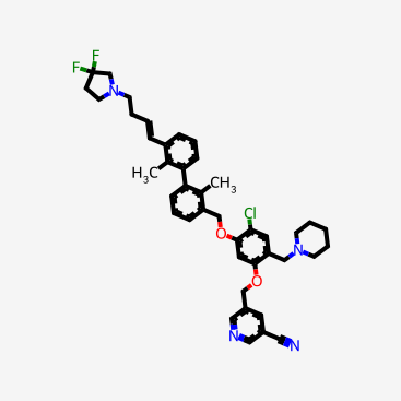 Cc1c(/C=C/CCN2CCC(F)(F)C2)cccc1-c1cccc(COc2cc(OCc3cncc(C#N)c3)c(CN3CCCCC3)cc2Cl)c1C